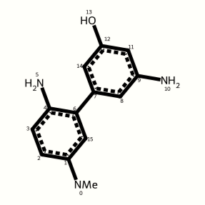 CNc1ccc(N)c(-c2cc(N)cc(O)c2)c1